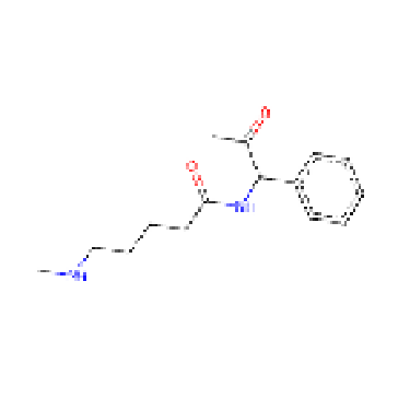 CNCCCCC(=O)NC(C(C)=O)c1ccccc1